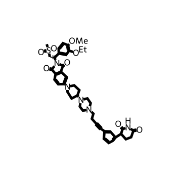 CCOc1cc([C@@H](CS(C)(=O)=O)N2C(=O)c3ccc(N4CCC(N5CCN(CCC#Cc6cccc(C7CCC(=O)NC7=O)c6)CC5)CC4)cc3C2=O)ccc1OC